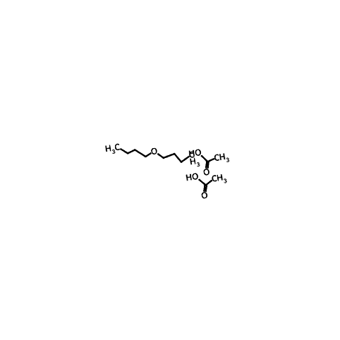 CC(=O)O.CC(=O)O.CCCCOCCCC